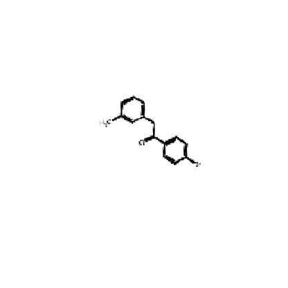 Cc1cccc(CC(=O)c2ccc(Br)cc2)c1